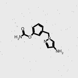 NC(=O)Oc1cccc(Cn2cc(N)cn2)c1